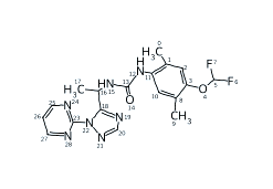 Cc1cc(OC(F)F)c(C)cc1NC(=O)NC(C)c1ncnn1-c1ncccn1